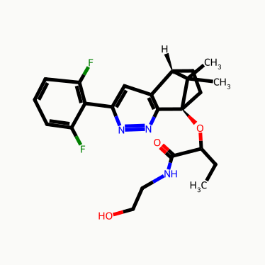 CCC(O[C@@]12CC[C@@H](c3cc(-c4c(F)cccc4F)nnc31)C2(C)C)C(=O)NCCO